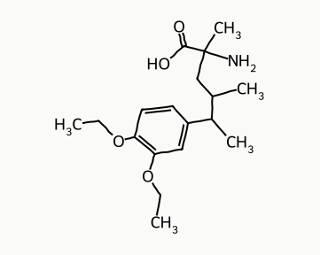 CCOc1ccc(C(C)C(C)CC(C)(N)C(=O)O)cc1OCC